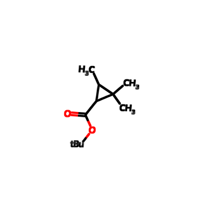 CC1C(C(=O)OC(C)(C)C)C1(C)C